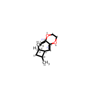 C/C=C1/OCCO/C1=C/C1C(C)CC1C